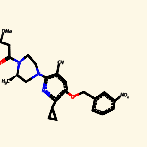 COCCC(=O)N1CCN(c2nc(C3CC3)c(OCc3cccc([N+](=O)[O-])c3)cc2C#N)C[C@H]1C